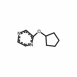 [c]1cncc(OC2CCCC2)n1